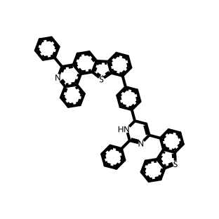 C1=C(c2cccc3sc4ccccc4c23)N=C(c2ccccc2)NC1c1ccc(-c2cccc3c2sc2c3ccc3c(-c4ccccc4)nc4ccccc4c32)cc1